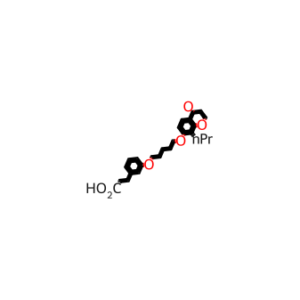 CCCc1c(OCCCCCOc2cccc(CCC(=O)O)c2)ccc2c1OCCC2=O